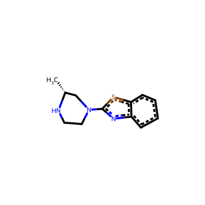 C[C@@H]1CN(c2nc3ccccc3s2)CCN1